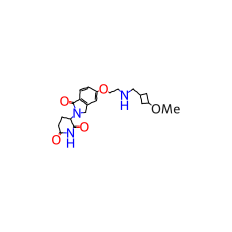 COC1CC(CNCCOc2ccc3c(c2)CN(C2CCC(=O)NC2=O)C3=O)C1